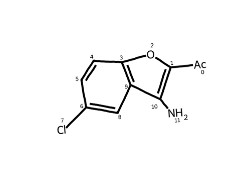 CC(=O)c1oc2ccc(Cl)cc2c1N